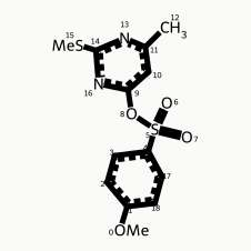 COc1ccc(S(=O)(=O)Oc2cc(C)nc(SC)n2)cc1